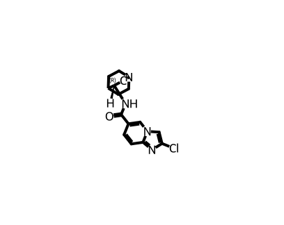 O=C(N[C@H]1CN2CCC1CC2)c1ccc2nc(Cl)cn2c1